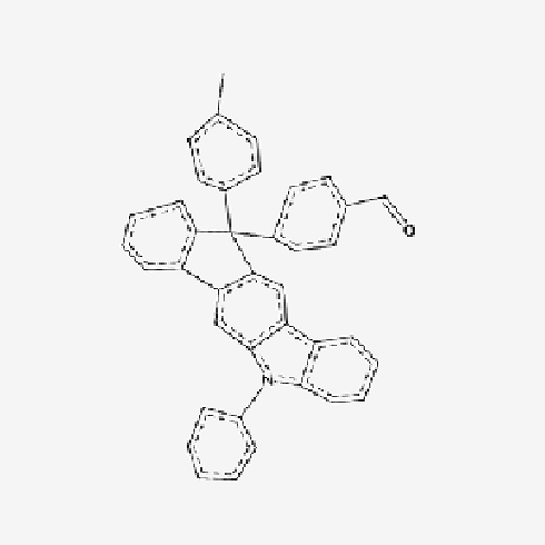 Cc1ccc(C2(c3ccc(C=O)cc3)c3ccccc3-c3cc4c(cc32)c2ccccc2n4-c2ccccc2)cc1